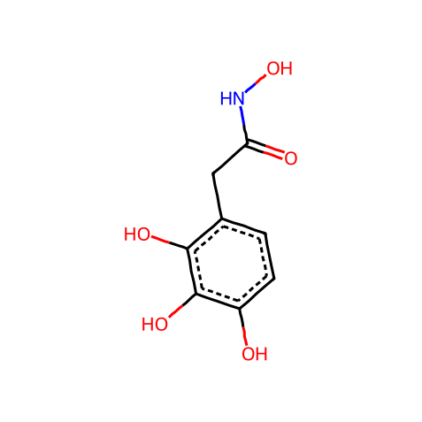 O=C(Cc1ccc(O)c(O)c1O)NO